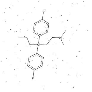 CCC[Si](CCN(C)C)(c1ccc(F)cc1)c1ccc(Cl)cc1